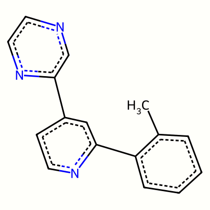 Cc1ccccc1-c1cc(-c2cnccn2)ccn1